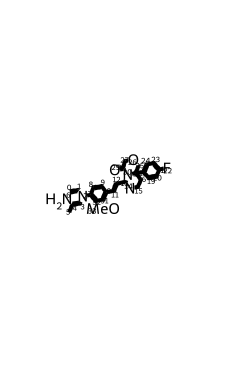 C=CN(/C=C(/C)N)c1ccc(/C=C/C2=NCCC3(c4ccc(F)cc4)COCC(=O)N23)cc1OC